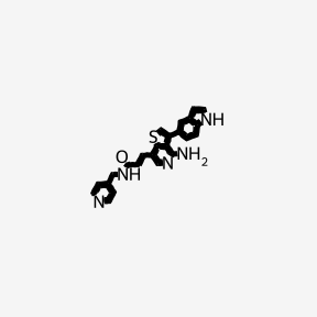 Nc1ncc(C=CC(=O)NCc2ccncc2)c2scc(-c3ccc4[nH]ccc4c3)c12